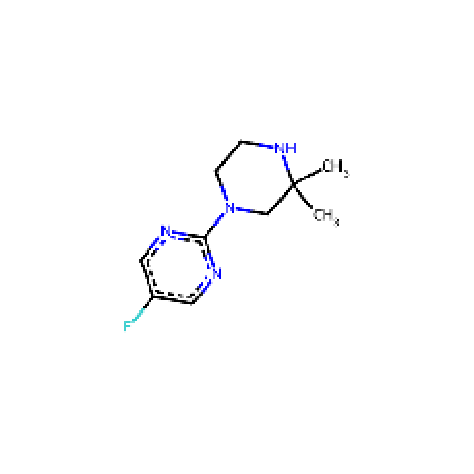 CC1(C)CN(c2ncc(F)cn2)CCN1